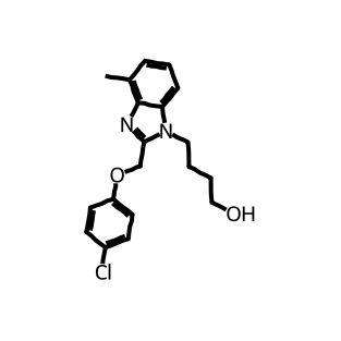 Cc1cccc2c1nc(COc1ccc(Cl)cc1)n2CCCCO